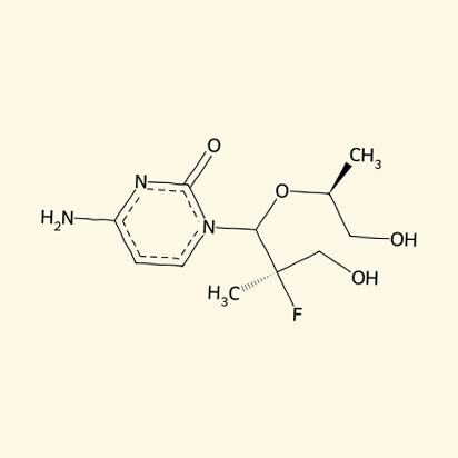 C[C@@H](CO)OC(n1ccc(N)nc1=O)[C@](C)(F)CO